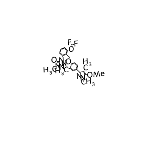 COc1c(C)c(-c2ccc(OCc3c(OC(F)F)cccc3-n3nnn(C)c3=O)c(C)c2)nn1C